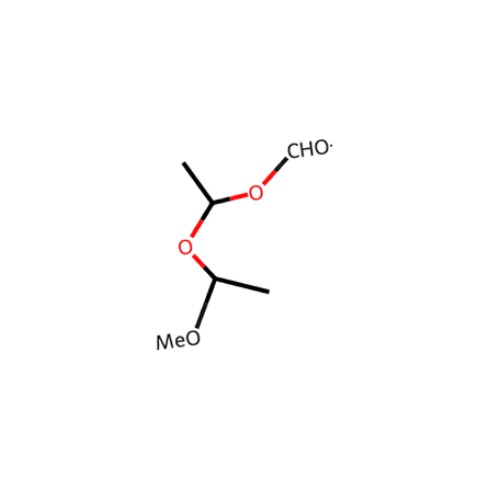 COC(C)OC(C)O[C]=O